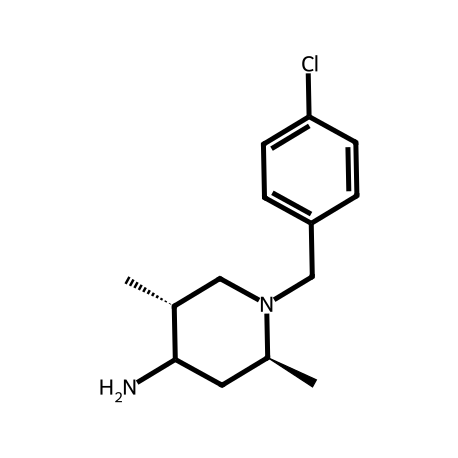 C[C@@H]1CN(Cc2ccc(Cl)cc2)[C@@H](C)CC1N